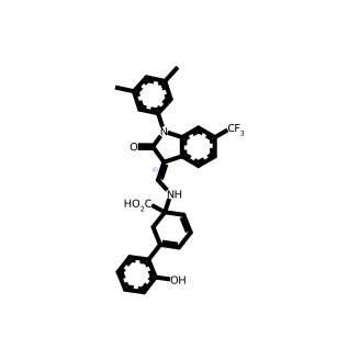 Cc1cc(C)cc(N2C(=O)/C(=C/NC3(C(=O)O)C=CC=C(c4ccccc4O)C3)c3ccc(C(F)(F)F)cc32)c1